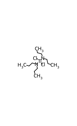 CCC[N](CCC)[Ti]([Cl])([Cl])[N](CCC)CCC